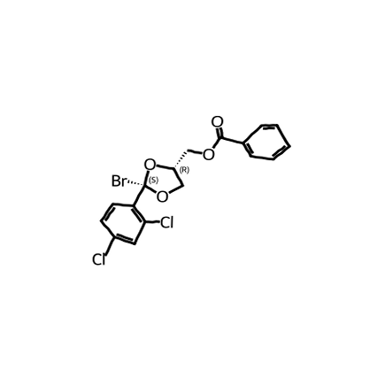 O=C(OC[C@@H]1CO[C@@](Br)(c2ccc(Cl)cc2Cl)O1)c1ccccc1